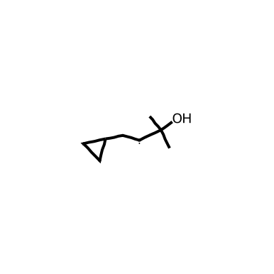 CC(C)(O)[CH]CC1CC1